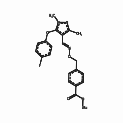 Cc1nn(C)c(Oc2ccc(F)cc2)c1C=NOCc1ccc(C(=O)OC(C)(C)C)cc1